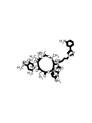 CC[C@H]1OC(=O)[C@H](C)C(=O)[C@H](C)[C@@H](O[C@@H]2O[C@H](C)CC(N(C)C)C2O)[C@](C)(OC)C[C@@H](C)CN(C)[C@H](C)[C@H]2N(CCCCn3cc(-c4cccc(N)c4)nn3)C(=O)O[C@]12n1ccc(N)nc1=O